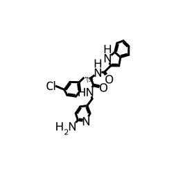 Nc1ccc(CNC(=O)[C@H](Cc2cccc(Cl)c2)NC(=O)c2cc3ccccc3[nH]2)cn1